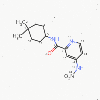 CC1(C)CCC(NC(=O)c2cc(N[N+](=O)[O-])ccn2)CC1